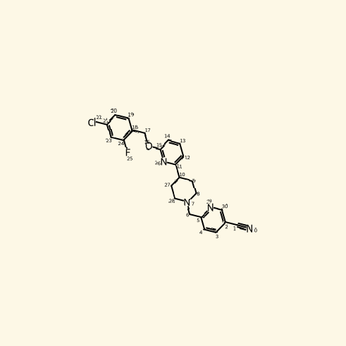 N#Cc1ccc(CN2CCC(c3cccc(OCc4ccc(Cl)cc4F)n3)CC2)nc1